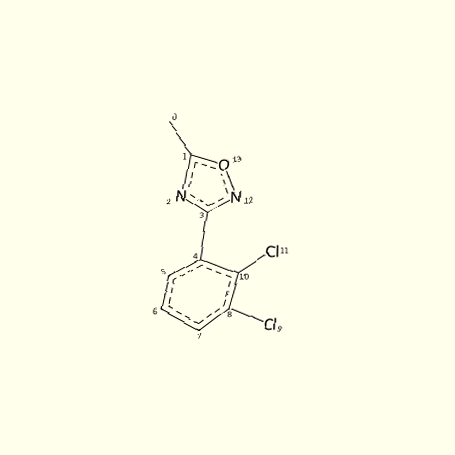 Cc1nc(-c2cccc(Cl)c2Cl)no1